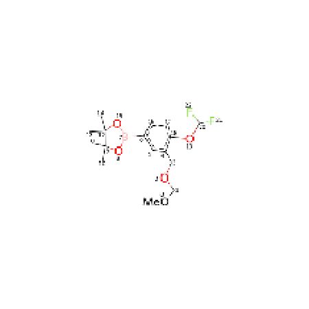 COCOCc1cc(B2OC(C)(C)C(C)(C)O2)ccc1OC(F)F